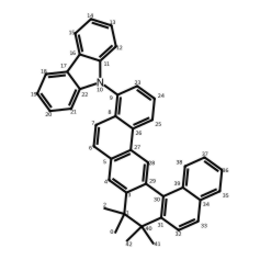 CC1(C)c2cc3ccc4c(-n5c6ccccc6c6ccccc65)cccc4c3cc2-c2c(ccc3ccccc23)C1(C)C